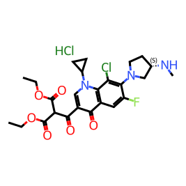 CCOC(=O)C(C(=O)OCC)C(=O)c1cn(C2CC2)c2c(Cl)c(N3CC[C@H](NC)C3)c(F)cc2c1=O.Cl